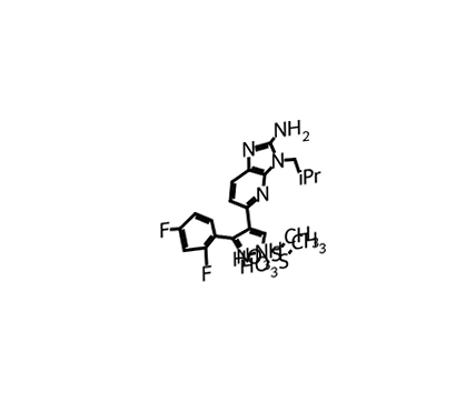 CC(C)Cn1c(N)nc2ccc(-c3c[nH]nc3-c3ccc(F)cc3F)nc21.CS(=O)(=O)O.CS(=O)(=O)O